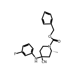 C[C@@H]1C[C@](C#N)(Nc2cccc(F)c2)CCN1C(=O)OCc1ccccc1